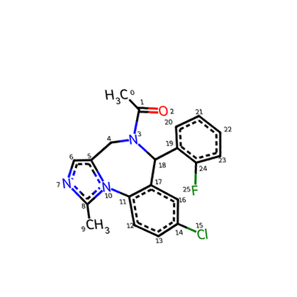 CC(=O)N1Cc2cnc(C)n2-c2ccc(Cl)cc2C1c1ccccc1F